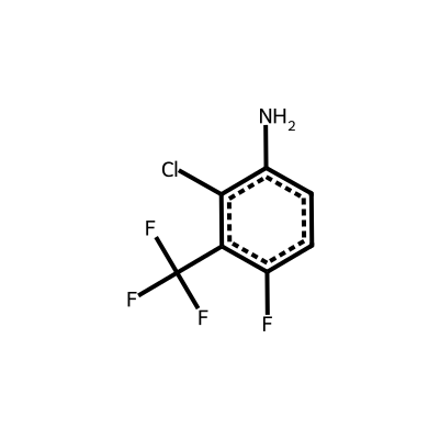 Nc1ccc(F)c(C(F)(F)F)c1Cl